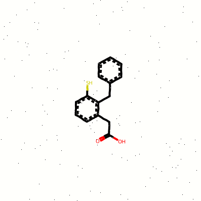 O=C(O)Cc1cccc(S)c1Cc1ccccc1